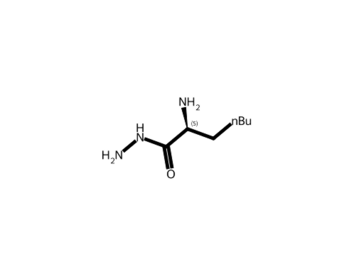 CCCCC[C@H](N)C(=O)NN